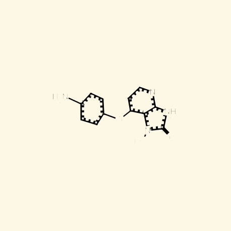 Cn1c(=O)[nH]c2nccc(Oc3ccc(N)cc3)c21